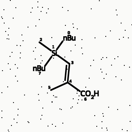 CCCC[Si](C)(C=C(C)C(=O)O)CCCC